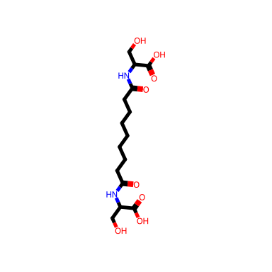 O=C(CCCCCCCC(=O)NC(CO)C(=O)O)NC(CO)C(=O)O